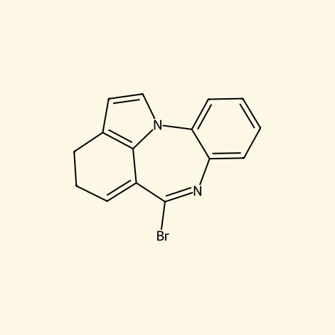 BrC1=Nc2ccccc2-n2ccc3c2C1=CCC3